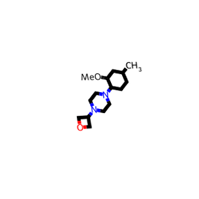 COC1CC(C)CCC1N1CCN(C2COC2)CC1